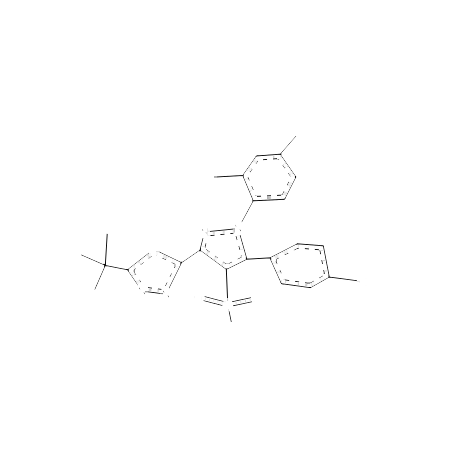 CC(C)(C)c1nnc(-c2nn(-c3ccc(Cl)cc3Cl)c(-c3ccc(Cl)cc3)c2S(C)(=O)=O)s1